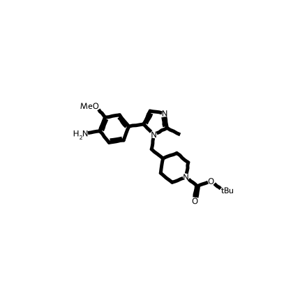 COc1cc(-c2cnc(C)n2CC2CCN(C(=O)OC(C)(C)C)CC2)ccc1N